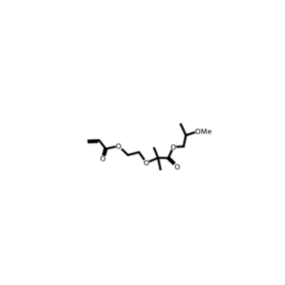 C=CC(=O)OCCOC(C)(C)C(=O)OCC(C)OC